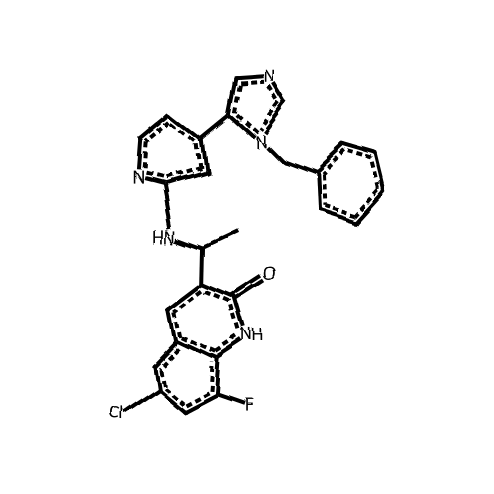 CC(Nc1cc(-c2cncn2Cc2ccccc2)ccn1)c1cc2cc(Cl)cc(F)c2[nH]c1=O